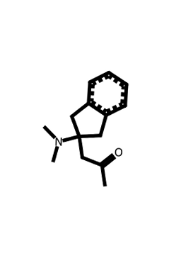 CC(=O)CC1(N(C)C)Cc2ccccc2C1